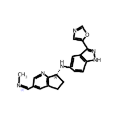 C/N=C\c1cnc2c(c1)CC[C@H]2Nc1ccc2[nH]nc(-c3cnco3)c2c1